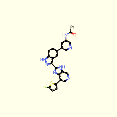 CC(C)C(=O)Nc1cncc(-c2ccc3[nH]nc(-c4nc5c(-c6ccc(F)s6)cncc5[nH]4)c3c2)c1